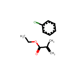 C=C(C)C(=O)OCC.Clc1ccccc1